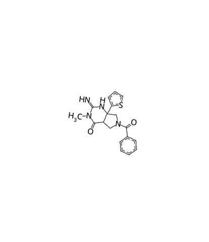 CN1C(=N)NC2(c3cccs3)CN(C(=O)c3ccccc3)CC2C1=O